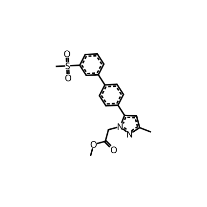 COC(=O)Cn1nc(C)cc1-c1ccc(-c2cccc(S(C)(=O)=O)c2)cc1